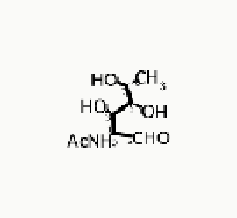 CC(=O)N[C@@H](C=O)[C@@H](O)[C@H](O)[C@@H](C)O